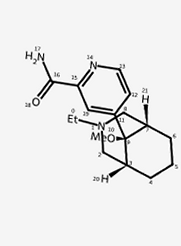 CCN1C[C@H]2CCC[C@@H](C1)[C@@]2(OC)c1ccnc(C(N)=O)c1